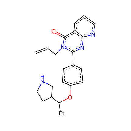 C=CCn1c(-c2ccc(OC(CC)C3CCNC3)cc2)nc2ncccc2c1=O